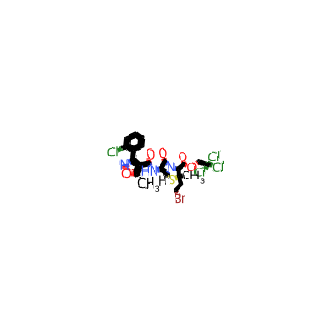 Cc1onc(-c2ccccc2Cl)c1C(=O)NC1C(=O)N2C(C(=O)OCC(Cl)(Cl)Cl)C(C)(CCBr)S[C@@H]12